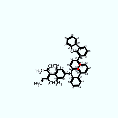 C=C/C(C)=C(\C(=C)C)c1c(C)cc(N(c2ccc(-c3cccc4c3oc3ccccc34)cc2)c2ccccc2-c2ccccc2)cc1C